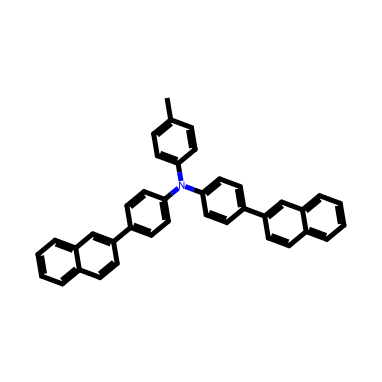 Cc1ccc(N(c2ccc(-c3ccc4ccccc4c3)cc2)c2ccc(-c3ccc4ccccc4c3)cc2)cc1